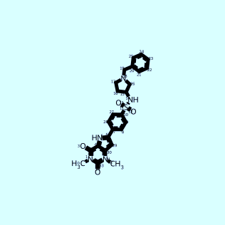 Cn1c(=O)c2[nH]c(-c3ccc(S(=O)(=O)NC4CCN(Cc5ccccc5)C4)cc3)cc2n(C)c1=O